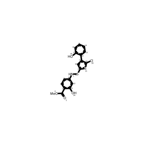 COC(=O)c1ccc(NSc2cc(-c3ccccc3O)c(Cl)s2)cc1O